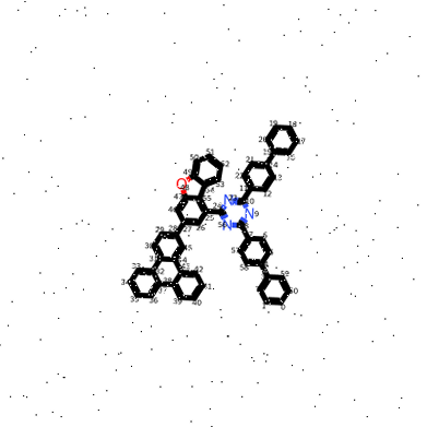 c1ccc(-c2ccc(-c3nc(-c4ccc(-c5ccccc5)cc4)nc(-c4cc(-c5ccc6c7ccccc7c7ccccc7c6c5)cc5oc6ccccc6c45)n3)cc2)cc1